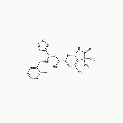 CC1(C)C(=O)Nc2nc(C(=N)/C=C(\NCc3ccccc3F)c3ccon3)nc(N)c21